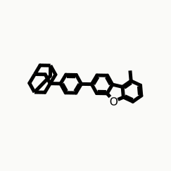 Cc1cccc2oc3cc(-c4ccc(C56CC7CC(CC(C7)C5)C6)cc4)ccc3c12